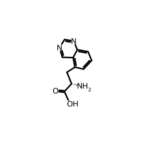 N[C@@H](Cc1cccc2ncncc12)C(=O)O